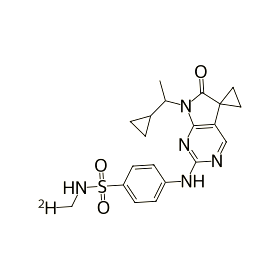 [2H]CNS(=O)(=O)c1ccc(Nc2ncc3c(n2)N(C(C)C2CC2)C(=O)C32CC2)cc1